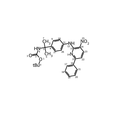 CC(C)(C)OC(=O)NC(C)(C)c1ccc(Nc2nc(-c3ccccc3)ccc2[N+](=O)[O-])cc1